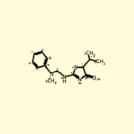 CC(C)C1SC(NC[C@H](C)c2ccccc2)=NC1=O